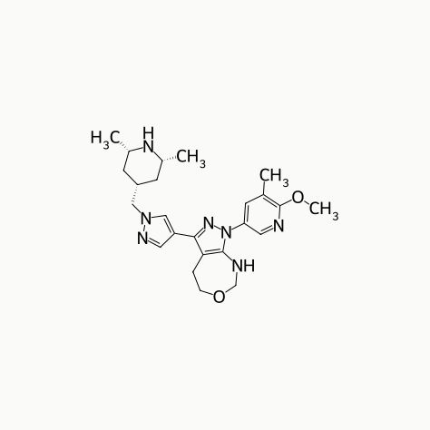 COc1ncc(-n2nc(-c3cnn(C[C@H]4C[C@@H](C)N[C@@H](C)C4)c3)c3c2NCOCC3)cc1C